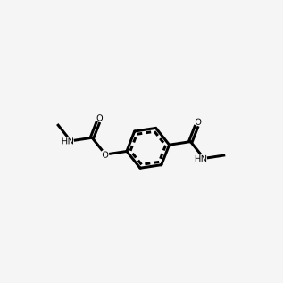 CNC(=O)Oc1ccc(C(=O)NC)cc1